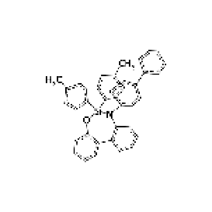 Cc1ccc([Si]2(c3ccc(C)cc3)Oc3ccccc3-c3ccccc3N2c2ccc(-c3ccccc3)cc2)cc1